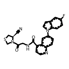 N#C[C@@H]1CSCN1C(=O)CNC(=O)c1ccnc2ccc(-n3ccc4cc(F)ccc43)cc12